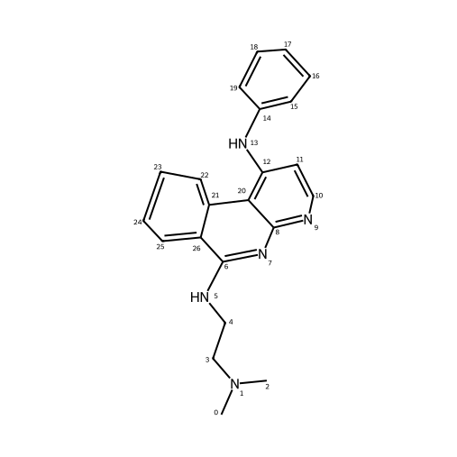 CN(C)CCNc1nc2nccc(Nc3ccccc3)c2c2ccccc12